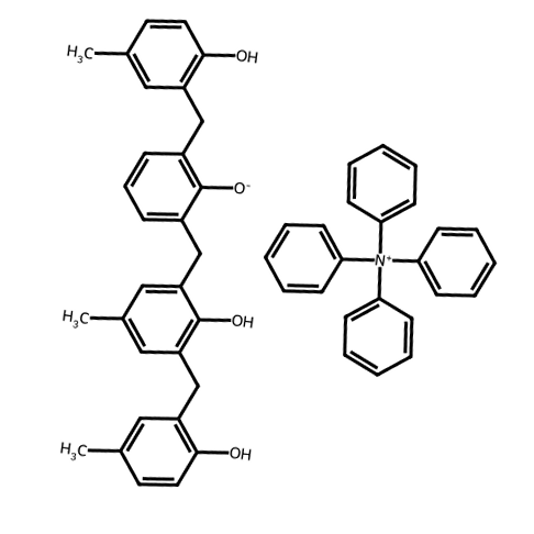 Cc1ccc(O)c(Cc2cccc(Cc3cc(C)cc(Cc4cc(C)ccc4O)c3O)c2[O-])c1.c1ccc([N+](c2ccccc2)(c2ccccc2)c2ccccc2)cc1